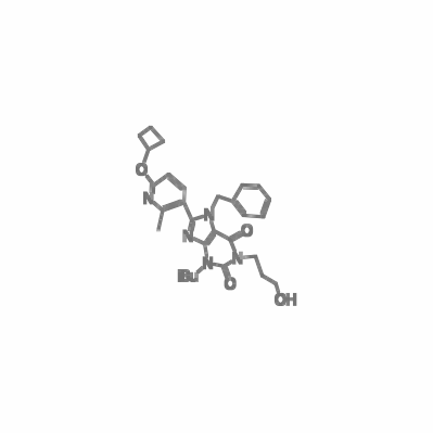 CCC(C)n1c(=O)n(CCCO)c(=O)c2c1nc(-c1ccc(OC3CCC3)nc1C)n2Cc1ccccc1